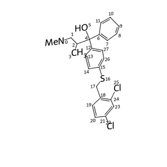 CNCC(C)C(O)(c1ccccc1)c1ccc(SCc2ccc(Cl)cc2Cl)cc1